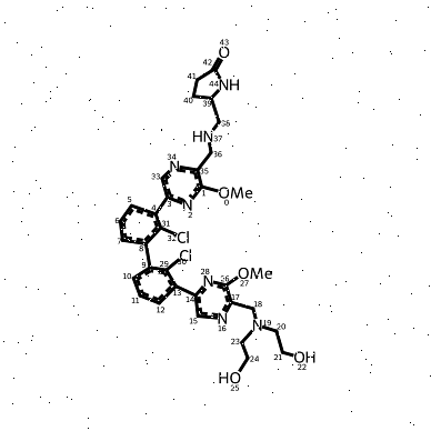 COc1nc(-c2cccc(-c3cccc(-c4cnc(CN(CCO)CCO)c(OC)n4)c3Cl)c2Cl)cnc1CNCC1CCC(=O)N1